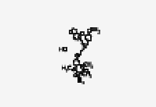 CCN1C(=O)C(C)(C)C(=O)N(C)c2cc(OCCCN(CCn3ccc4occc4c3=O)Cc3ccc(OC)cc3)ccc21.Cl